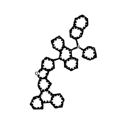 c1ccc(N(c2ccc3ccccc3c2)c2c3ccccc3c(-c3ccc4oc5cc6c7ccccc7c7ccccc7c6cc5c4c3)c3ccccc23)cc1